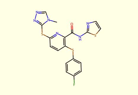 Cn1cnnc1Sc1ccc(Sc2ccc(F)cc2)c(C(=O)Nc2nccs2)n1